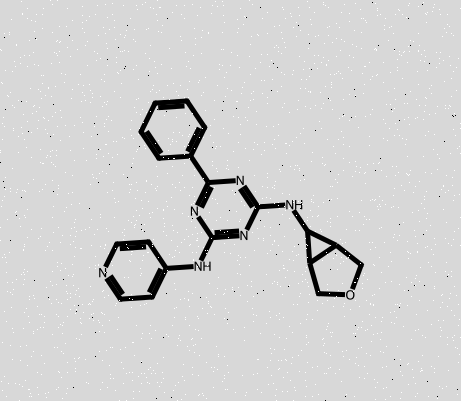 c1ccc(-c2nc(Nc3ccncc3)nc(NC3C4COCC43)n2)cc1